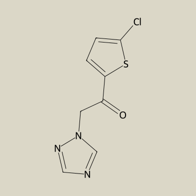 O=C(Cn1cncn1)c1ccc(Cl)s1